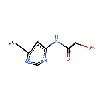 CC(C)c1cc(NC(=O)CO)ncn1